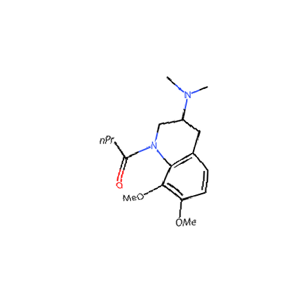 CCCC(=O)N1CC(N(C)C)Cc2ccc(OC)c(OC)c21